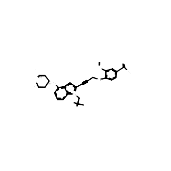 COc1cc(C(N)=O)ccc1NCC#Cc1cc2c(N[C@H]3C[C@@H](C)O[C@@H](C)C3)cccc2n1CC(F)(F)F